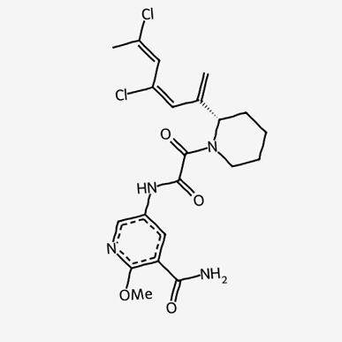 C=C(/C=C(Cl)\C=C(/C)Cl)[C@@H]1CCCCN1C(=O)C(=O)Nc1cnc(OC)c(C(N)=O)c1